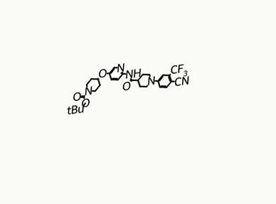 CC(C)(C)OC(=O)N1CCC(Oc2ccc(NC(=O)C3CCN(c4ccc(C#N)c(C(F)(F)F)c4)CC3)nc2)CC1